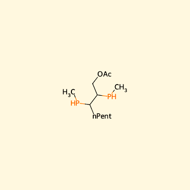 CCCCCC(PC)C(COC(C)=O)PC